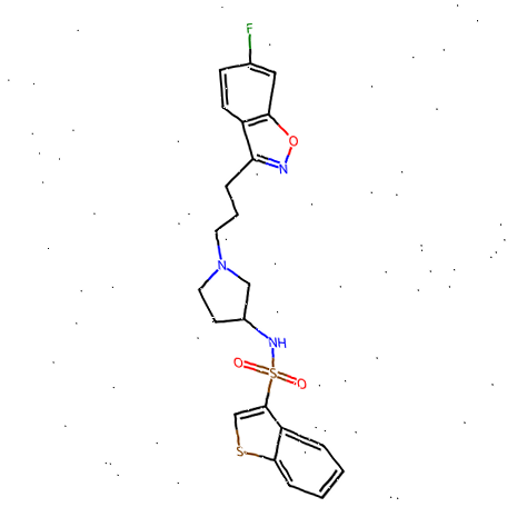 O=S(=O)(NC1CCN(CCCc2noc3cc(F)ccc23)C1)c1csc2ccccc12